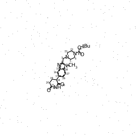 Cn1c(CN2CCN(C(=O)OC(C)(C)C)CC2)nc2cc(C3CCC(=O)NC3=O)ccc21